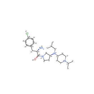 CC(C)CN(C1CCN(C(C)C)CC1)[C@H]1CCN(C(=O)[C@H](N)Cc2ccc(Cl)cc2)C1